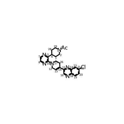 CC(=O)N1CCC(c2nccnc2N2CC=C(c3cnc4ccc(Cl)cc4n3)CC2)CC1